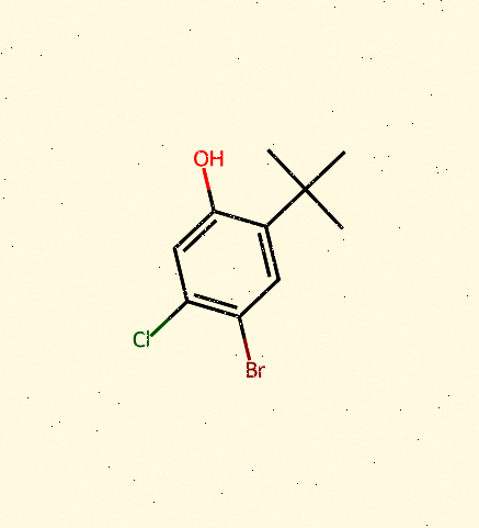 CC(C)(C)c1cc(Br)c(Cl)cc1O